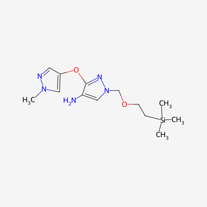 Cn1cc(Oc2nn(COCC[Si](C)(C)C)cc2N)cn1